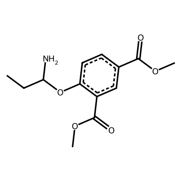 CCC(N)Oc1ccc(C(=O)OC)cc1C(=O)OC